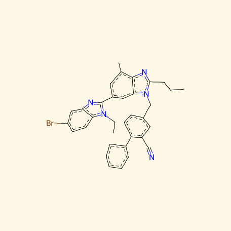 CCCc1nc2c(C)cc(-c3nc4cc(Br)ccc4n3CC)cc2n1Cc1ccc(-c2ccccc2)c(C#N)c1